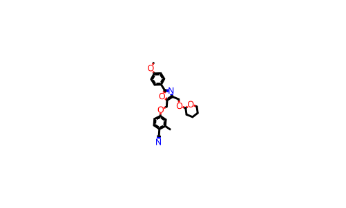 COc1ccc(-c2nc(COC3CCCCO3)c(COc3ccc(C#N)c(C)c3)o2)cc1